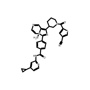 N#Cc1csc(C(=O)N2CCCC(C3=C4C=NC=C[N+]4(N)C(c4ccc(C(=O)Nc5cc(C6CC6)ccn5)cc4)=N3)C2)c1